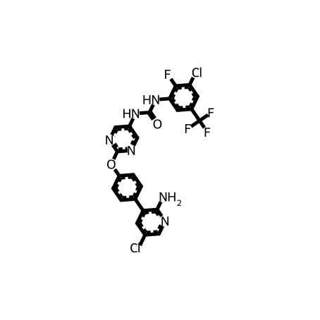 Nc1ncc(Cl)cc1-c1ccc(Oc2ncc(NC(=O)Nc3cc(C(F)(F)F)cc(Cl)c3F)cn2)cc1